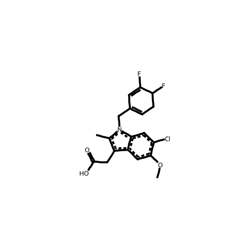 COc1cc2c(CC(=O)O)c(C)n(CC3=CCC(F)C(F)=C3)c2cc1Cl